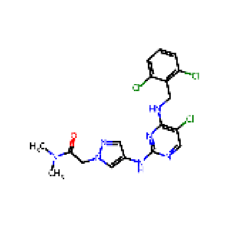 CN(C)C(=O)Cn1cc(Nc2ncc(Cl)c(NCc3c(Cl)cccc3Cl)n2)cn1